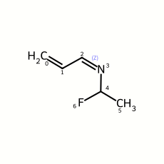 C=C/C=N\C(C)F